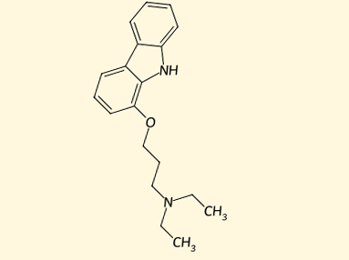 CCN(CC)CCCOc1cccc2c1[nH]c1ccccc12